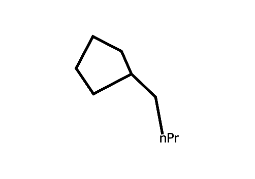 C[CH]CCC1CCCC1